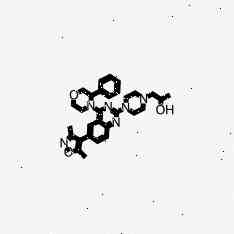 Cc1noc(C)c1-c1ccc2nc(N3CCN(CC(C)O)CC3)nc(N3CCOCC3c3ccccc3)c2c1